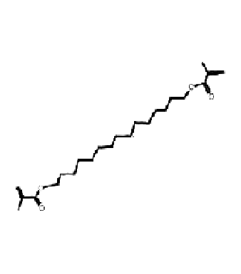 C=C(C)C(=O)OCCCCCC[CH]CCCCCCCCOC(=O)C(=C)C